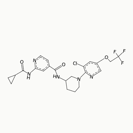 O=C(NC1CCCN(c2ncc(OCC(F)(F)F)cc2Cl)C1)c1ccnc(NC(=O)C2CC2)c1